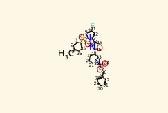 Cc1ccc(S(=O)(=O)n2cc(F)cc2-c2coc([C@H]3CCCN(C(=O)OCc4ccccc4)C3)n2)cc1